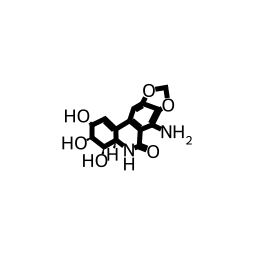 Nc1c2c(cc3c1C(=O)N[C@@H]1C3=C[C@H](O)[C@@H](O)[C@H]1O)OCO2